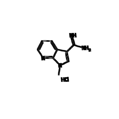 Cl.Cn1cc(C(=N)N)c2cccnc21